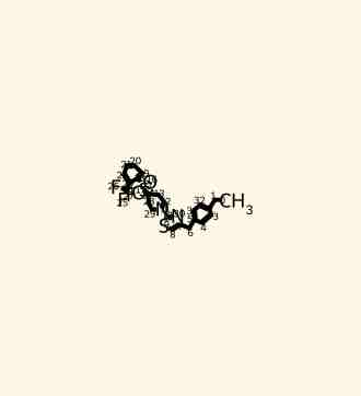 CCc1ccc(Cc2csc(N3CCC(S(=O)(=O)c4ccccc4C(F)(F)F)CC3)n2)cc1